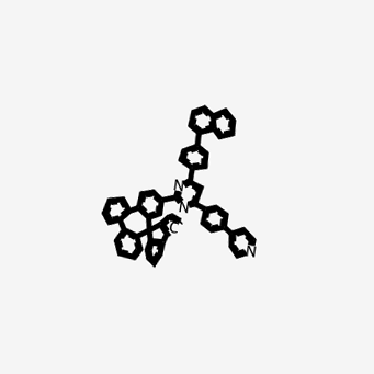 c1ccc2c(c1)-c1ccccc1C1(c3cc(-c4nc(-c5ccc(-c6ccncc6)cc5)cc(-c5ccc(-c6cccc7ccccc67)cc5)n4)ccc3-2)c2ccccc2-c2ccccc21